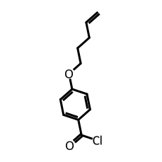 C=CCCCOc1ccc(C(=O)Cl)cc1